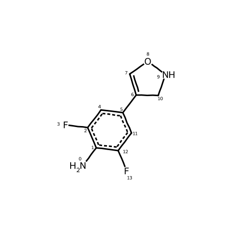 Nc1c(F)cc(C2=CONC2)cc1F